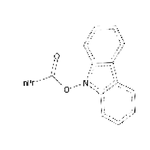 CCCC(=O)On1c2ccccc2c2ccccc21